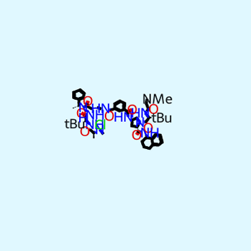 CNCC(=O)N[C@H](C(=O)N1C[C@@H](NC(=O)c2cccc(C(=O)NCC[C@H](NC(=O)[C@@H](NC(=O)[C@H](C)N(C)Cl)C(C)(C)C)C(=O)N[C@H](C)c3ccccc3)c2)C[C@H]1C(=O)N[C@@H]1CCCc2ccccc21)C(C)(C)C